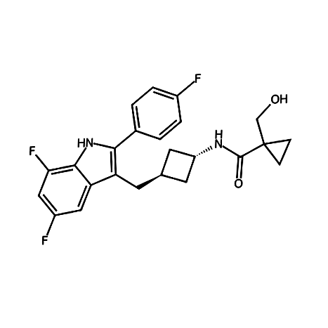 O=C(N[C@H]1C[C@H](Cc2c(-c3ccc(F)cc3)[nH]c3c(F)cc(F)cc23)C1)C1(CO)CC1